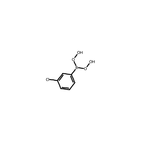 OOB(OO)c1cccc(Cl)c1